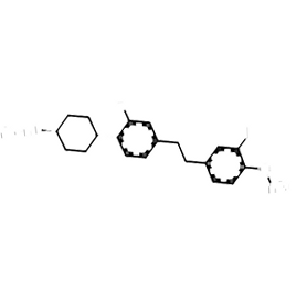 CCCCC[C@H]1CC[C@H](c2ccc(CCc3ccc(OCCCC)c(F)c3)cc2F)CC1